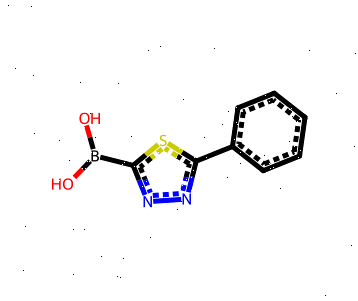 OB(O)c1nnc(-c2ccccc2)s1